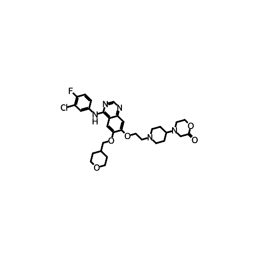 O=C1CN(C2CCN(CCOc3cc4ncnc(Nc5ccc(F)c(Cl)c5)c4cc3OCC3CCOCC3)CC2)CCO1